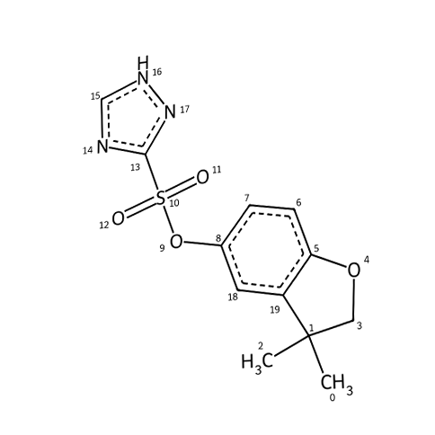 CC1(C)COc2ccc(OS(=O)(=O)c3nc[nH]n3)cc21